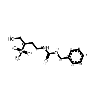 CS(=O)(=O)C(CO)CCNC(=O)OCc1ccccc1